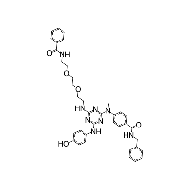 CN(c1ccc(C(=O)NCc2ccccc2)cc1)c1nc(NCCOCCOCCNC(=O)c2ccccc2)nc(Nc2ccc(O)cc2)n1